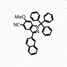 COc1cc2c(cc1C#N)c(-c1ccc3ccccc3c1)nn2C(c1ccccc1)(c1ccccc1)c1ccccc1